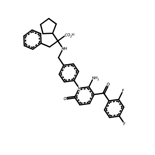 Nc1c(C(=O)c2ccc(F)cc2F)ccc(=O)n1-c1ccc(CNC(Cc2ccccc2)(C(=O)O)C2CCCC2)cc1